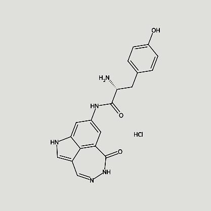 Cl.N[C@H](Cc1ccc(O)cc1)C(=O)Nc1cc2c3c(c[nH]c3c1)C=NNC2=O